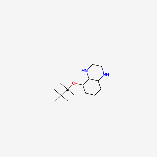 CC(C)(C)[Si](C)(C)OC1CCCC2NCCNC21